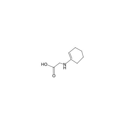 O=C(O)CNC1=CCCCC1